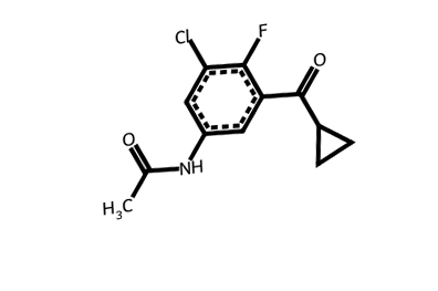 CC(=O)Nc1cc(Cl)c(F)c(C(=O)C2CC2)c1